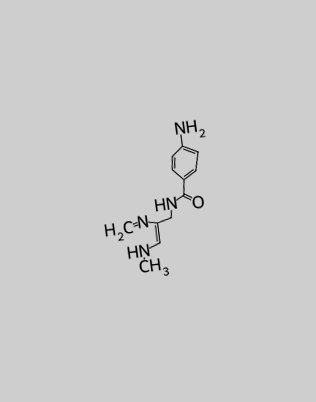 C=N/C(=C\NC)CNC(=O)c1ccc(N)cc1